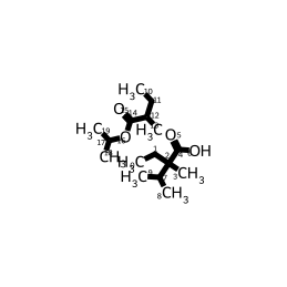 CCC(C)(C(=O)O)C(C)C.CCC(C)C(=O)OC(C)C